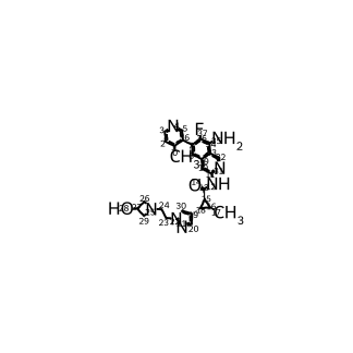 Cc1ccncc1-c1cc2cc(NC(=O)[C@H]3[C@@H](C)[C@@H]3c3cnn(CCN4CC(O)C4)c3)ncc2c(N)c1F